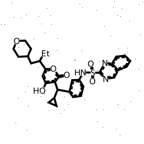 CCC(CC1CCOCC1)c1cc(O)c(C(c2cccc(NS(=O)(=O)c3ncc4ccccc4n3)c2)C2CC2)c(=O)o1